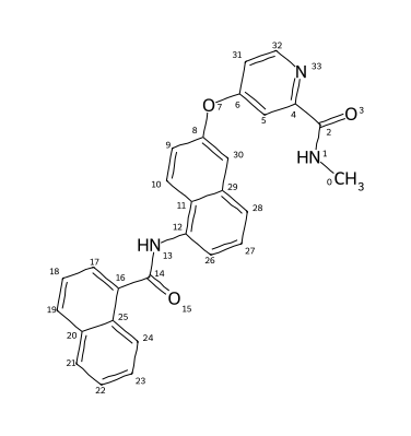 CNC(=O)c1cc(Oc2ccc3c(NC(=O)c4cccc5ccccc45)cccc3c2)ccn1